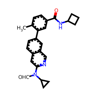 Cc1ccc(C(=O)NC2CCC2)cc1-c1ccc2cc(N(C=O)C3CC3)ncc2c1